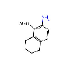 COc1c(N)ccc2c1CCCC2